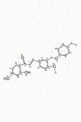 CCc1ccc(OCc2cc(/C=C/C(=O)c3ccc(O)cc3O)ccc2OC)cc1